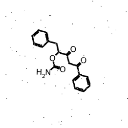 NC(=O)OC(Cc1ccccc1)C(=O)CC(=O)c1ccccc1